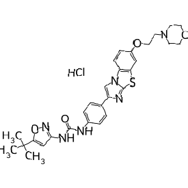 CC(C)(C)c1cc(NC(=O)Nc2ccc(-c3cn4c(n3)sc3cc(OCCN5CCOCC5)ccc34)cc2)no1.Cl